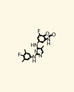 Cc1cnc(Nc2cc(C)c(F)c(C)c2)nc1Nc1cc(F)c2oc(=O)[nH]c2c1